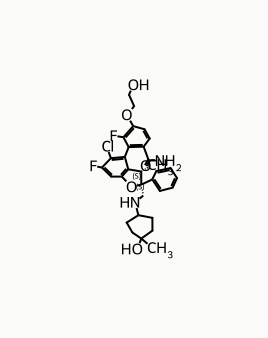 C[C@H]1c2c(cc(F)c(Cl)c2-c2c(C(N)=O)ccc(OCCO)c2F)O[C@]1(CNC1CCC(C)(O)CC1)c1ccccc1